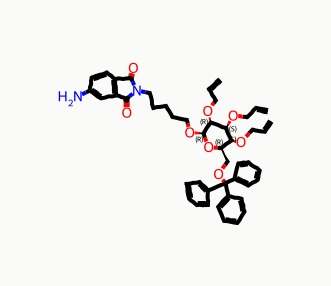 C=CCO[C@H]1[C@@H](OCC=C)[C@@H](COC(c2ccccc2)(c2ccccc2)c2ccccc2)O[C@@H](OCCCCCN2C(=O)c3ccc(N)cc3C2=O)[C@@H]1OCC=C